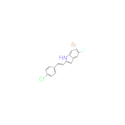 Fc1cc2cc(/C=C/c3ccc(Cl)cc3)[nH]c2cc1Br